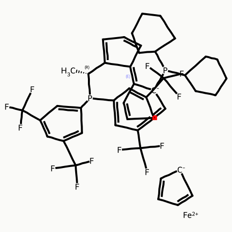 C[C@H](C1=CC=C/C1=C1/C=CC=C[C-]1P(C1CCCCC1)C1CCCCC1)P(c1cc(C(F)(F)F)cc(C(F)(F)F)c1)c1cc(C(F)(F)F)cc(C(F)(F)F)c1.[Fe+2].c1cc[cH-]c1